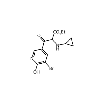 CCOC(=O)C(NC1CC1)C(=O)c1cnc(O)c(Br)c1